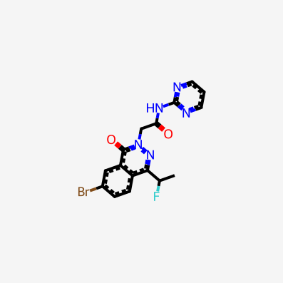 CC(F)c1nn(CC(=O)Nc2ncccn2)c(=O)c2cc(Br)ccc12